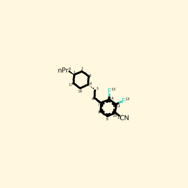 CCC[C@H]1CC[C@H](CCc2ccc(C#N)c(F)c2F)CC1